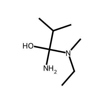 CCN(C)C(N)(O)C(C)C